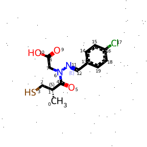 C[C@H](CS)C(=O)N(CC(=O)O)/N=C/c1ccc(Cl)cc1